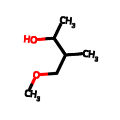 COCC(C)C(C)O